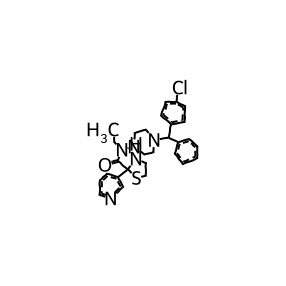 CCN(C(=O)C1(c2cccnc2)NCCS1)N1CCN(C(c2ccccc2)c2ccc(Cl)cc2)CC1